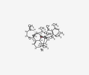 C/C=C(/C)C(C(=O)OC(C)C1=CC[C@@]23OCCN(C)C[C@@]12C[C@@H](O)[C@]12O[C@@]4(O)CC[C@@]1(C)[C@H](CC=C32)C4)=C(C)C